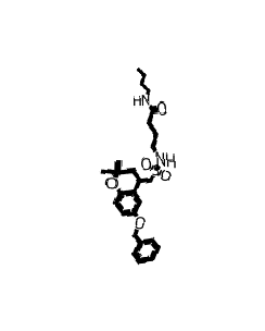 CCCCNC(=O)CCCNS(=O)(=O)CC1CC(C)(C)Oc2ccc(OCc3ccccc3)cc21